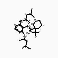 CC(C)CC(=O)Nc1cccc(NC(=O)CC(C)C)c1NC(=O)C1(C(C)(C)C)CCCCC1